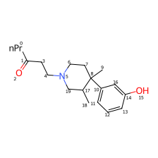 CCCC(=O)CCN1CCC(C)(c2cccc(O)c2)C(C)C1